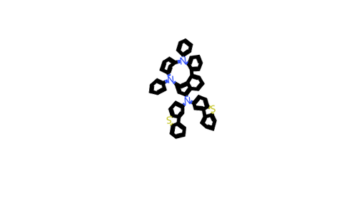 c1ccc(-n2c3cc(N(c4ccc5sc6ccccc6c5c4)c4ccc5sc6ccccc6c5c4)c4cccc(c4c3)c3ccccc3n(-c3ccccc3)c3cccc2c3)cc1